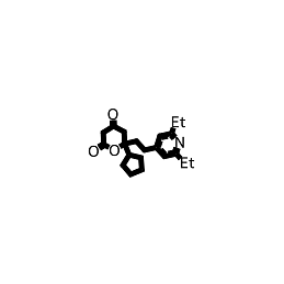 CCc1cc(CCC2(C3CCCC3)CC(=O)CC(=O)O2)cc(CC)n1